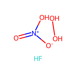 F.O=[N+]([O-])O.OO